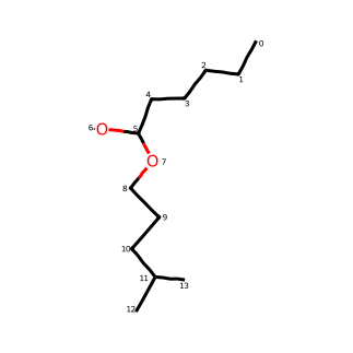 CCCCCC([O])OCCCC(C)C